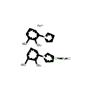 CC(C)(C)c1cccc(-[c-]2cccc2)c1C(C)(C)C.CC(C)(C)c1cccc(-[c-]2cccc2)c1C(C)(C)C.[Cl][Pd][Cl].[Fe+2]